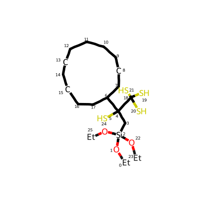 CCO[Si](CC(S)(C1CCCCCCCCCCC1)C(S)(S)S)(OCC)OCC